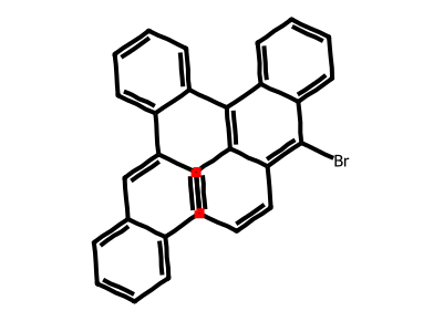 Brc1c2ccccc2c(-c2ccccc2-c2ccc3ccccc3c2)c2ccccc12